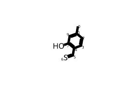 Cc1ccc(C=S)c(O)c1